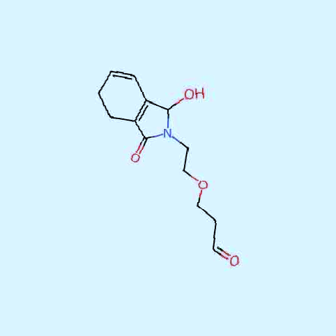 O=CCCOCCN1C(=O)C2=C(C=CCC2)C1O